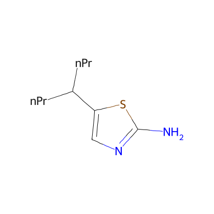 CCCC(CCC)c1cnc(N)s1